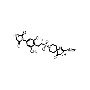 CCCCCCCCCC1=NC2(CCN(S(=O)(=O)CCc3c(C)cc(N4C(=O)CNC4=O)cc3C)CC2)C(=O)N1